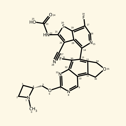 CN1CC[C@@H]1COc1ncc2c3c(c(-c4ncc(F)c5sc(NC(=O)O)c(C#N)c45)c(F)c2n1)COC3